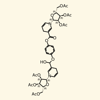 CC(=O)OC[C@H]1O[C@@H](N2C=CCC(C(=O)Oc3ccc(OC(O)C4=CN([C@@H]5O[C@H](COC(C)=O)[C@@H](OC(C)=O)[C@H]5OC(C)=O)C=CC4)cc3)=C2)[C@H](OC(C)=O)[C@@H]1OC(C)=O